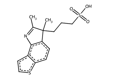 CC1=Nc2c(ccc3sccc23)C1(C)CCCS(=O)(=O)O